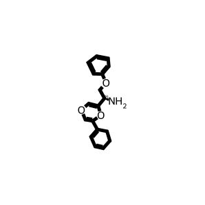 N[C@H](COc1ccccc1)C1=COC=C(C2=CC=CCC2)O1